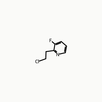 Fc1cccnc1CCCl